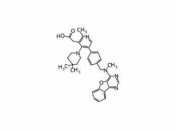 Cc1ncc(-c2ccc(CN(C)c3ncnc4c3oc3ccccc34)cc2)c(N2CCC(C)(C)CC2)c1CC(=O)O